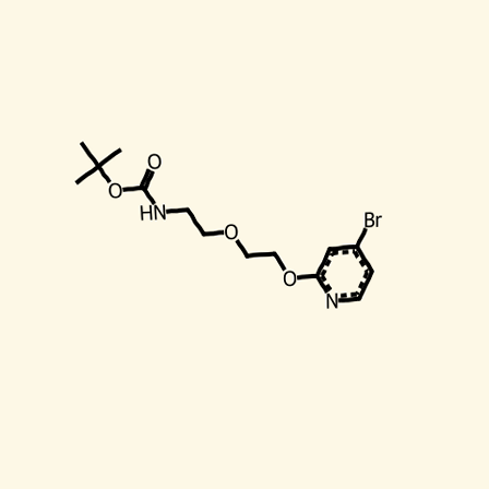 CC(C)(C)OC(=O)NCCOCCOc1cc(Br)ccn1